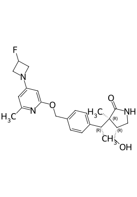 Cc1cc(N2CC(F)C2)cc(OCc2ccc([C@@H](C)[C@@]3(C)C(=O)NC[C@@H]3CO)cc2)n1